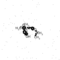 CCCCN(C)CCOc1ccc(CCCNc2cc(OC)c(OC)cc2C2CCc3cc(O)ccc3C2)cc1